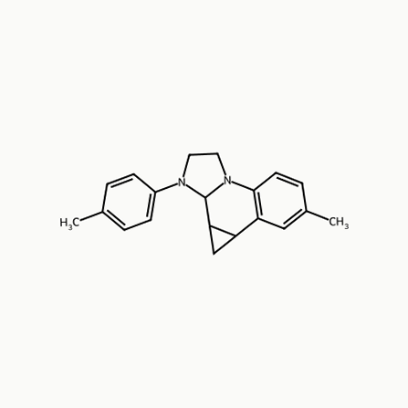 Cc1ccc(N2CCN3c4ccc(C)cc4C4CC4C23)cc1